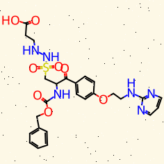 O=C(O)CCNNS(=O)(=O)CC(NC(=O)OCc1ccccc1)C(=O)c1ccc(OCCNc2ncccn2)cc1